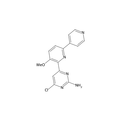 COc1ccc(-c2ccncc2)nc1-c1cc(Cl)nc(N)n1